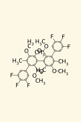 COC(=O)c1c(-c2cc(F)c(F)c(F)c2)c(C)c(OC)c(C)c1-c1c(C)c(OC)c(C)c(-c2cc(F)c(F)c(F)c2)c1C(=O)OC